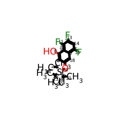 CC(C)[Si](Oc1cc(O)c2c(F)c(F)cc(F)c2c1)(C(C)C)C(C)C